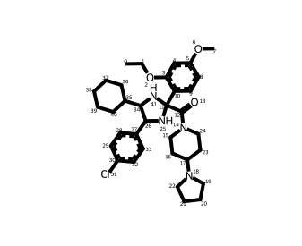 CCOc1cc(OC)ccc1C1(C(=O)N2CCC(N3CCCC3)CC2)NC(c2ccc(Cl)cc2)C(C2CCCCC2)N1